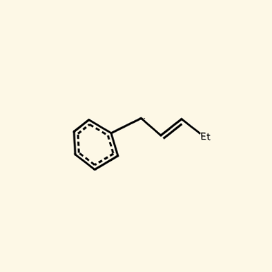 CC/C=C/[CH]c1ccccc1